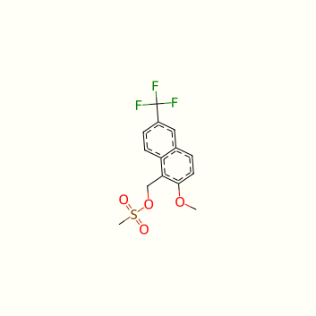 COc1ccc2cc(C(F)(F)F)ccc2c1COS(C)(=O)=O